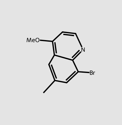 COc1ccnc2c(Br)cc(C)cc12